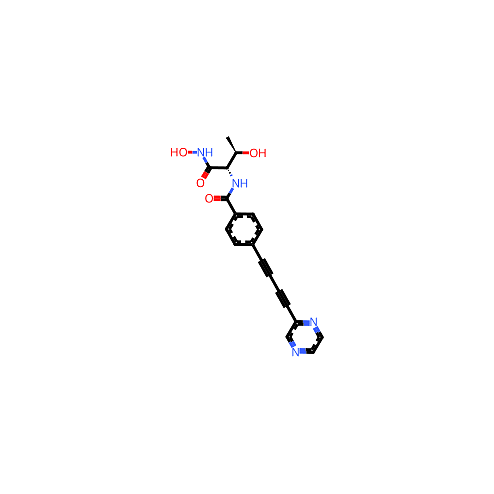 C[C@@H](O)[C@H](NC(=O)c1ccc(C#CC#Cc2cnccn2)cc1)C(=O)NO